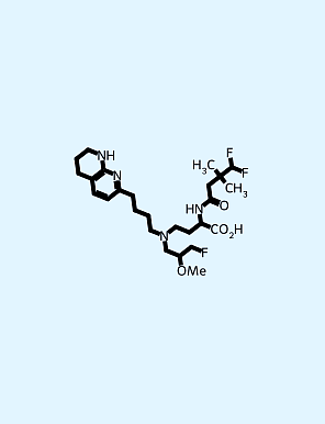 COC(CF)CN(CCCCc1ccc2c(n1)NCCC2)CCC(NC(=O)CC(C)(C)C(F)F)C(=O)O